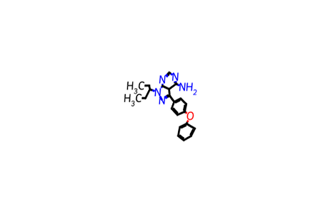 CCC(CC)N1N=C(c2ccc(Oc3ccccc3)cc2)C2C(N)=NC=NC21